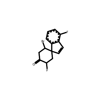 O=C1CC(Br)C2(C=Cc3c(F)cccc32)CC1F